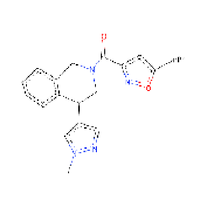 CCCc1cc(C(=O)N2Cc3ccccc3C(c3cnn(C)c3)C2)no1